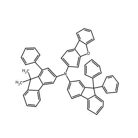 CC1(C)c2ccccc2-c2cc(N(c3ccc4c(c3)C(c3ccccc3)(c3ccccc3)c3ccccc3-4)c3ccc4c(c3)oc3ccccc34)cc(-c3ccccc3)c21